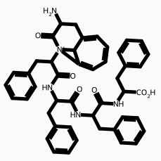 NC1CC2=CC=CC=C3C2[N+]3(C(Cc2ccccc2)C(=O)NC(Cc2ccccc2)C(=O)NC(Cc2ccccc2)C(=O)NC(Cc2ccccc2)C(=O)O)C1=O